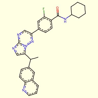 CC(c1ccc2ncccc2c1)c1cnc2ncc(-c3ccc(C(=O)NC4CCCCC4)c(F)c3)nn12